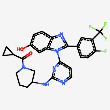 O=C(C1CC1)N1CCCC(Nc2nccc(-n3c(-c4ccc(F)c(C(F)(F)F)c4)nc4ccc(O)cc43)n2)C1